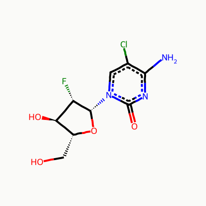 Nc1nc(=O)n([C@@H]2O[C@H](CO)[C@@H](O)[C@@H]2F)cc1Cl